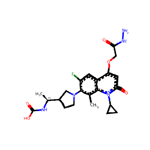 Cc1c(N2CCC([C@H](C)NC(=O)O)C2)c(F)cc2c(OCC(=O)NN)cc(=O)n(C3CC3)c12